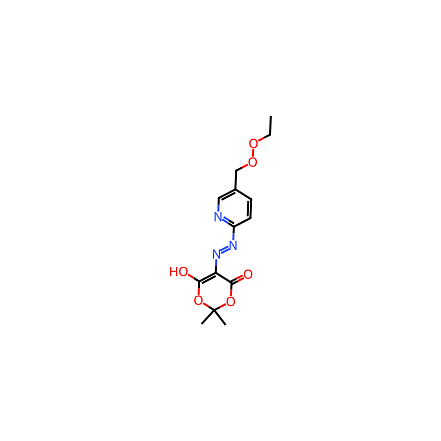 CCOOCc1ccc(N=NC2=C(O)OC(C)(C)OC2=O)nc1